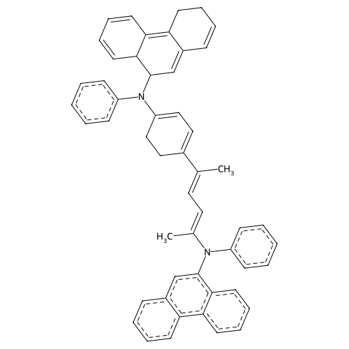 C/C(=C\C=C(/C)N(c1ccccc1)c1cc2ccccc2c2ccccc12)C1=CC=C(N(c2ccccc2)C2C=C3C=CCCC3=C3C=CC=CC32)CC1